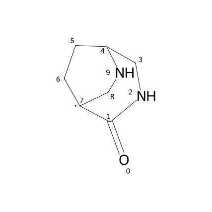 O=C1NCC2CC[C]1CN2